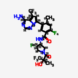 Cc1cc(F)c(C(=O)N[C@@H]2CN(C(=O)C(C)(O)C(F)(F)F)C[C@@H]2F)cc1-c1cc(C(F)(F)F)c2c(N)ncnn12